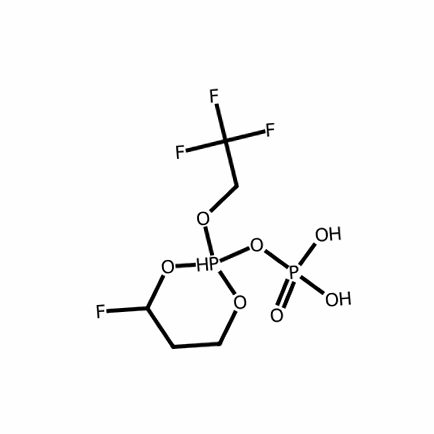 O=P(O)(O)O[PH]1(OCC(F)(F)F)OCCC(F)O1